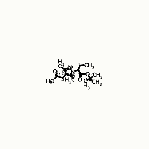 CCC(C(=O)OC(C)(C)C)n1nc(C)c(CC(=O)O)c1C